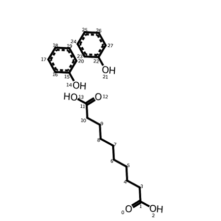 O=C(O)CCCCCCCCC(=O)O.Oc1ccccc1.Oc1ccccc1